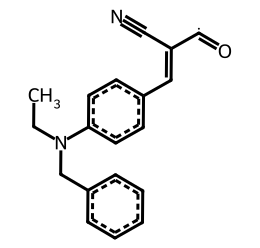 CCN(Cc1ccccc1)c1ccc(/C=C(/[C]=O)C#N)cc1